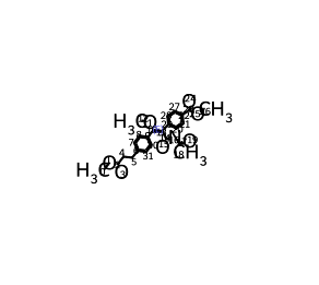 COC(=O)CCc1ccc(/C(OC)=C2\C(=O)N(C(C)=O)c3cc(C(=O)OC)ccc32)cc1